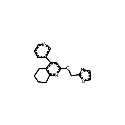 c1cncc(-c2cc(OCc3ncco3)nc3c2CCCC3)c1